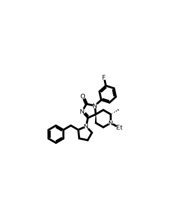 CCN1CC[C@@]2(C[C@@H]1C)C(N1CCCC1Cc1ccccc1)=NC(=O)N2c1cccc(F)c1